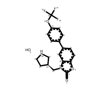 Cl.O=c1oc2ccc(-c3ccc(OC(F)(F)F)cc3)cc2n1C[C@H]1CCNC1